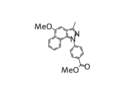 COC(=O)c1ccc(-n2nc(C)c3cc(OC)c4ccccc4c32)cc1